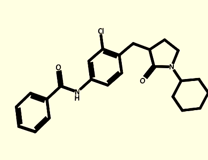 O=C(Nc1ccc(CC2CCN(C3CCCCC3)C2=O)c(Cl)c1)c1ccccc1